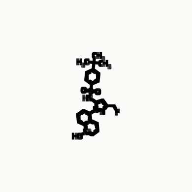 CC(C)(C)c1ccc(S(=O)(=O)Nc2cc(CF)nn2-c2cccc3c2ccc[n+]3O)cc1